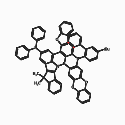 CC(C)(C)c1ccc(N2c3cc4c(cc3B3c5c2cc2c(oc6ccccc62)c5-c2cc(N(c5ccccc5)c5ccccc5)cc5c6c(n3c25)-c2ccccc2C6(C)C)Oc2ccccc2O4)c(-c2ccccc2)c1